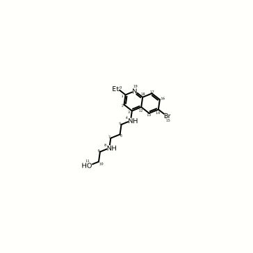 CCc1cc(NCCCNCCO)c2cc(Br)ccc2n1